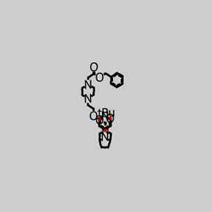 CC(C)(C)OC(=O)N1CC2CCC(C1)N2c1ccnc(OCCN2CCN(CC(=O)OCc3ccccc3)CC2)c1